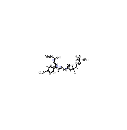 CN/C(S)=N/N=C(/C(C)=N/N=C(\S)NC(C)(C)CCOC(C)(N)C(C)(C)C)c1ccc([N+](=O)[O-])cc1